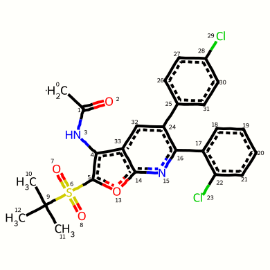 [CH2]C(=O)Nc1c(S(=O)(=O)C(C)(C)C)oc2nc(-c3ccccc3Cl)c(-c3ccc(Cl)cc3)cc12